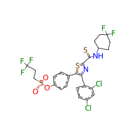 O=S(=O)(CCC(F)(F)F)Oc1ccc(-c2sc(C(=S)NC3CCC(F)(F)CC3)nc2-c2ccc(Cl)cc2Cl)cc1